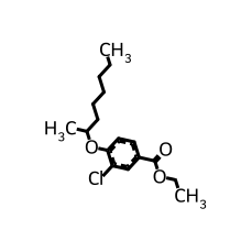 CCCCCCC(C)Oc1ccc(C(=O)OCC)cc1Cl